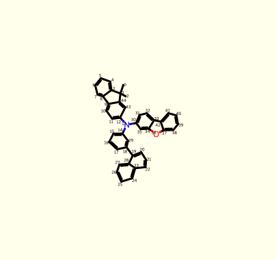 CC1(C)c2ccccc2-c2ccc(N(c3cccc(-c4cccc5ccccc45)c3)c3ccc4c(c3)oc3ccccc34)cc21